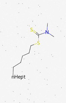 CCCCCCCCCCCCSC(=S)N(C)C